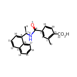 Cc1cc(C(=O)N[C@H](C)c2cccc3ccccc23)ccc1C(=O)O